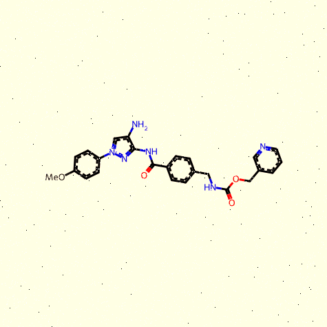 COc1ccc(-n2cc(N)c(NC(=O)c3ccc(CNC(=O)OCc4cccnc4)cc3)n2)cc1